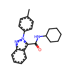 Cc1ccc(-n2nc3ccccc3c2C(=O)NC2CCCCC2)cc1